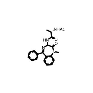 CC(=O)N[C@@H](C)C(=O)NC1N=C(c2ccccc2)c2ccccc2N(C)C1=O